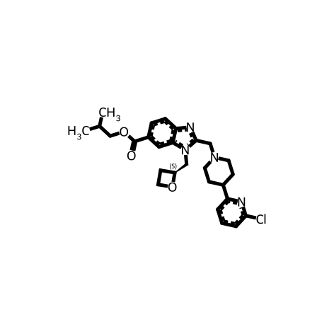 CC(C)COC(=O)c1ccc2nc(CN3CCC(c4cccc(Cl)n4)CC3)n(C[C@@H]3CCO3)c2c1